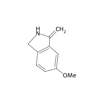 C=C1NCc2ccc(OC)cc21